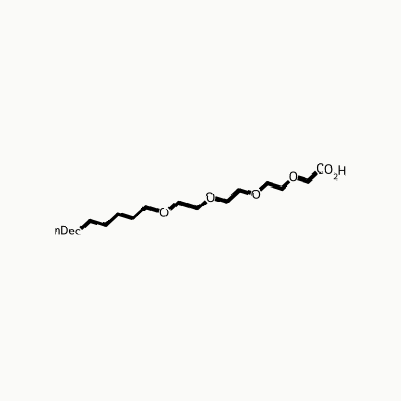 CCCCCCCCCCCCCCCOCCOCCOCCOCC(=O)O